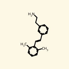 Cc1cccc(C)c1/C=C/c1cccc(CCN)c1